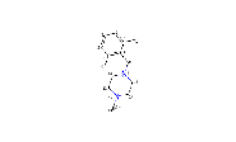 Cc1cccc(C)c1CN1CCN(C(C)C)CC1